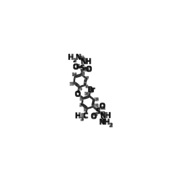 Cc1cc(Oc2ccc(S(=O)(=O)NN)cc2)c(Br)cc1S(=O)(=O)NN